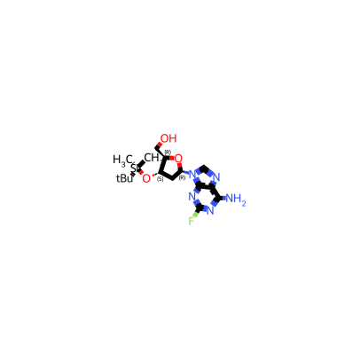 CC(C)(C)[Si](C)(C)O[C@H]1C[C@H](n2cnc3c(N)nc(F)nc32)O[C@@H]1CO